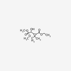 CCOC(=O)C1C(C(O)P(=O)(OC)OC)C1(C)C